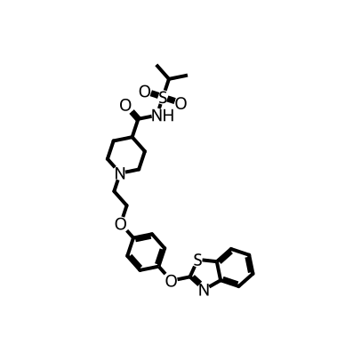 CC(C)S(=O)(=O)NC(=O)C1CCN(CCOc2ccc(Oc3nc4ccccc4s3)cc2)CC1